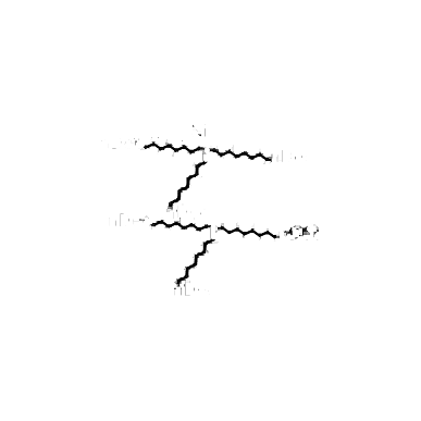 CCCCCCCCCCCCCCCCCCP(CCCCCCCCCCCCCCCCCC)CCCCCCCCCCCCCCCCCC.CCCCCCCCCCCCCCCCCCP(CCCCCCCCCCCCCCCCCC)CCCCCCCCCCCCCCCCCC.[C]=O.[C]=O.[Ni]